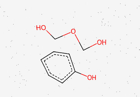 OCOCO.Oc1ccccc1